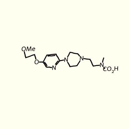 COCCOc1ccc(N2CCN(CCN(C)C(=O)O)CC2)nc1